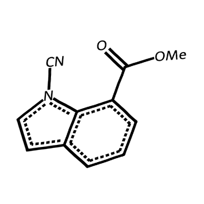 COC(=O)c1cccc2ccn(C#N)c12